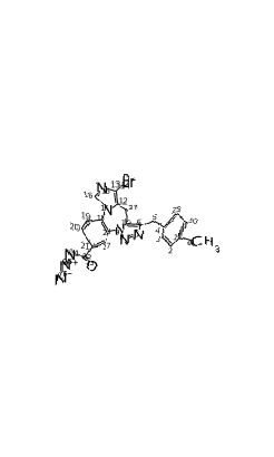 Cc1ccc(Cc2nnn3c2Cc2c(Br)ncn2-c2ccc(C(=O)N=[N+]=[N-])cc2-3)cc1